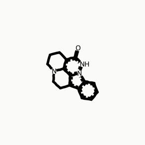 O=c1[nH]n2c3c4c1CCCN4CCc3c1ccccc12